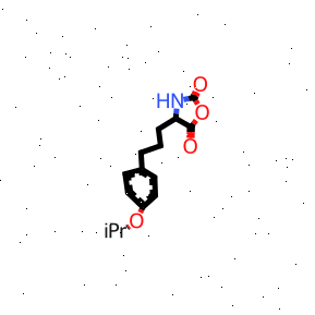 CC(C)Oc1ccc(CCCC2NC(=O)OC2=O)cc1